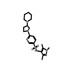 Cc1nn(C)c(C)c1NS(=O)(=O)c1ccc(N2CCC(N3CCCCC3)C2)nc1